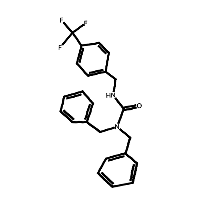 O=C(NCc1ccc(C(F)(F)F)cc1)N(Cc1ccccc1)Cc1ccccc1